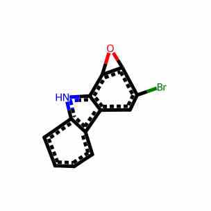 Brc1cc2c([nH]c3ccccc32)c2c1O2